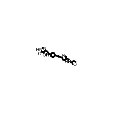 O=c1[nH]cnc(CCc2ccc(C#Cc3ccc(CNC4CCOC4)cn3)cc2)c1O